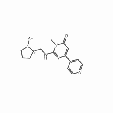 CC(=O)N1CCC[C@@H]1CNc1nc(-c2ccncc2)cc(=O)n1C